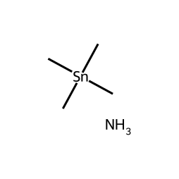 N.[CH3][Sn]([CH3])([CH3])[CH3]